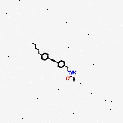 C=CC(=O)NCCc1ccc(C#Cc2ccc(CCCCC)cc2)cc1